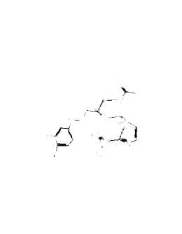 CC(=O)OCC(COSc1ccc(C)cc1)OCn1ccnc1[N+](=O)[O-]